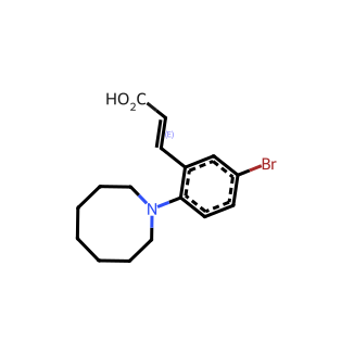 O=C(O)/C=C/c1cc(Br)ccc1N1CCCCCCC1